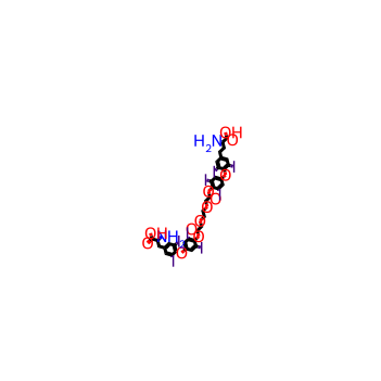 NC(CCc1cc(I)c(Oc2cc(I)c(OC(=O)COCCOCC(=O)Oc3c(I)cc(Oc4c(I)cc(CC(N)C(=O)O)cc4I)cc3I)c(I)c2)c(I)c1)C(=O)O